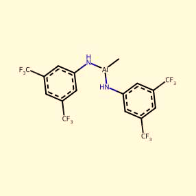 [CH3][Al]([NH]c1cc(C(F)(F)F)cc(C(F)(F)F)c1)[NH]c1cc(C(F)(F)F)cc(C(F)(F)F)c1